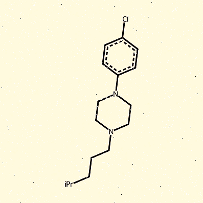 CC(C)CCCN1CCN(c2ccc(Cl)cc2)CC1